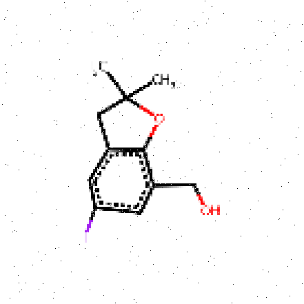 CC1(C)Cc2cc(I)cc(CO)c2O1